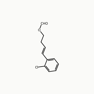 O=COCC/C=C/c1ccccc1Cl